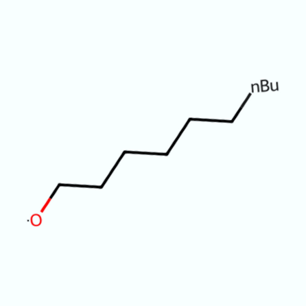 [CH2]CCCCCCCCC[O]